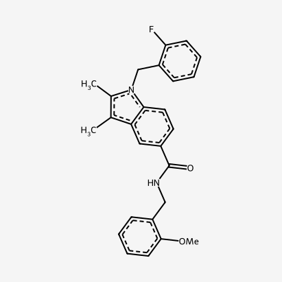 COc1ccccc1CNC(=O)c1ccc2c(c1)c(C)c(C)n2Cc1ccccc1F